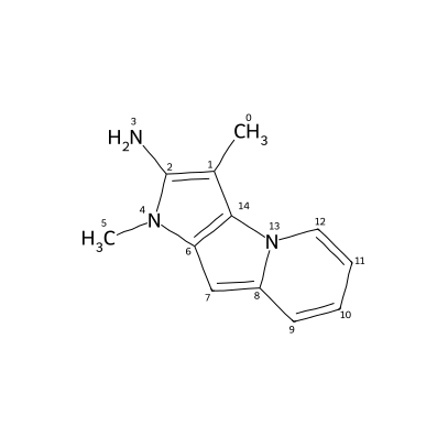 Cc1c(N)n(C)c2cc3ccccn3c12